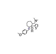 COc1ccc(/C=C2\CCCCC(CN(C)C)C2(O)c2cccs2)cc1